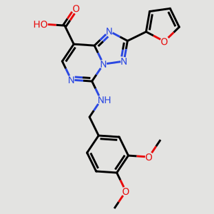 COc1ccc(CNc2ncc(C(=O)O)c3nc(-c4ccco4)nn23)cc1OC